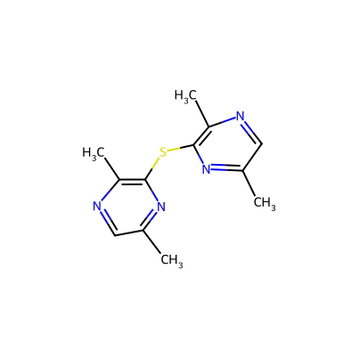 Cc1cnc(C)c(Sc2nc(C)cnc2C)n1